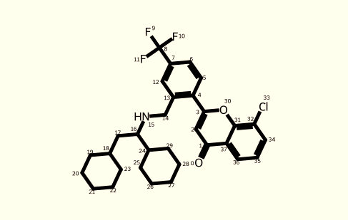 O=c1cc(-c2ccc(C(F)(F)F)cc2CNC(CC2CCCCC2)C2CCCCC2)oc2c(Cl)cccc12